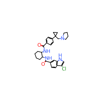 O=C(NC1CCCCC1NC(=O)c1ccc2c(Cl)c[nH]c2c1)c1ccc(C2(CN3CCCC3)CC2)cc1